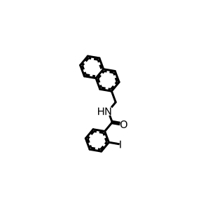 O=C(NCc1ccc2ccccc2c1)c1ccccc1I